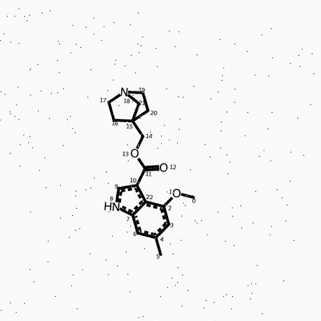 COc1cc(C)cc2[nH]cc(C(=O)OCC34CCN(CC3)C4)c12